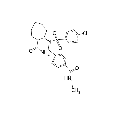 CCNC(=O)c1ccc(CN(C2CCCCCC2C(N)=O)S(=O)(=O)c2ccc(Cl)cc2)cc1